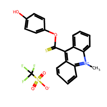 C[n+]1c2ccccc2c(C(=S)Oc2ccc(O)cc2)c2ccccc21.O=S(=O)([O-])C(F)(F)F